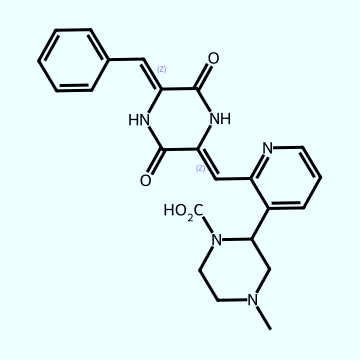 CN1CCN(C(=O)O)C(c2cccnc2/C=c2\[nH]c(=O)/c(=C/c3ccccc3)[nH]c2=O)C1